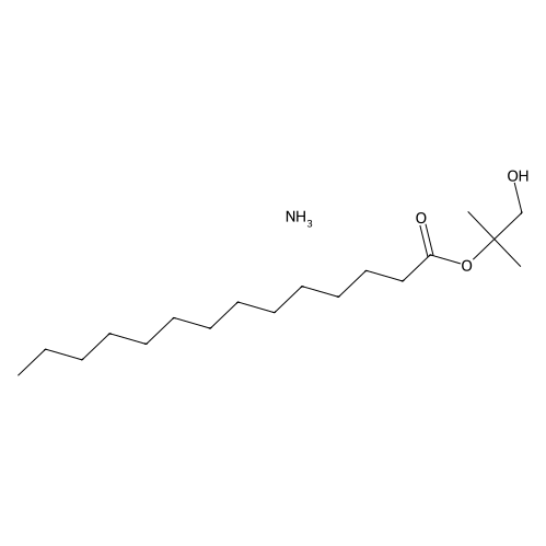 CCCCCCCCCCCCCC(=O)OC(C)(C)CO.N